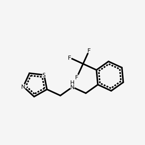 FC(F)(F)c1ccccc1CNCc1cncs1